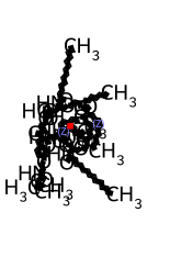 CCCCCC/C=C\CCCC(=O)O[C@H](CCCCCCC)CCOCC(COP(=O)(O)OCCNC(=O)C(Cc1ccc(OCCNC(=O)OC(C)(C)C)cc1)C(=O)NCCOP(=O)(O)OCC(COCC[C@@H](CCCCCCC)OC(=O)CCC/C=C\CCCCCC)NC(=O)CCCCCCCCCCCCC)NC(=O)CCCCCCCCCCCCC